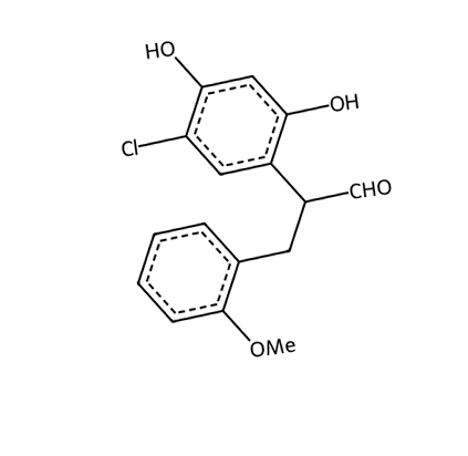 COc1ccccc1CC(C=O)c1cc(Cl)c(O)cc1O